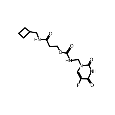 O=C(CCOC(=O)NCn1cc(F)c(=O)[nH]c1=O)NCC1CCC1